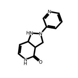 O=C1NC=CC2NN(c3cccnc3)CC12